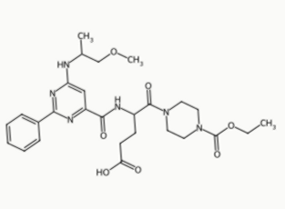 CCOC(=O)N1CCN(C(=O)C(CCC(=O)O)NC(=O)c2cc(NC(C)COC)nc(-c3ccccc3)n2)CC1